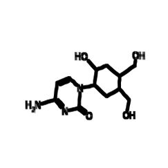 Nc1ccn(C2CC(CO)C(CO)CC2O)c(=O)n1